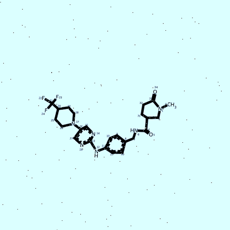 CN1CC(C(=O)NCc2ccc(Nc3ncc(N4CCC(C(F)(F)F)CC4)cn3)cc2)CCC1=O